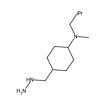 CC(C)CN(C)C1CCC(CNN)CC1